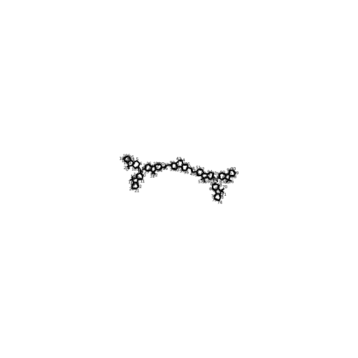 CC1(C)C2=C(CCC(N(c3ccc4c(c3)C(C)(C)c3ccccc3-4)c3ccc4c(c3)C(C)(C)c3cc(/C=C/c5ccc6c(ccc7cc(/C=C/c8ccc9c(c8)C(C)(C)c8cc(N(c%10ccc%11c(c%10)C(C)(C)c%10ccccc%10-%11)c%10ccc%11c(c%10)C(C)(C)c%10ccccc%10-%11)ccc8-9)ccc76)c5)ccc3-4)=C2)c2ccccc21